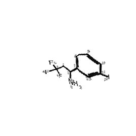 NC(CC(F)(F)F)c1cccc(I)c1